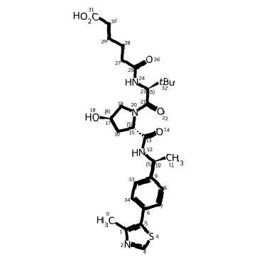 Cc1ncsc1-c1ccc([C@H](C)NC(=O)[C@@H]2C[C@@H](O)CN2C(=O)[C@@H](NC(=O)CCCCC(=O)O)C(C)(C)C)cc1